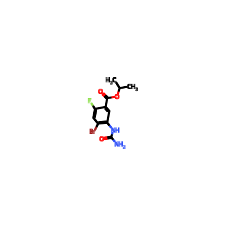 CC(C)OC(=O)c1cc(NC(N)=O)c(Br)cc1F